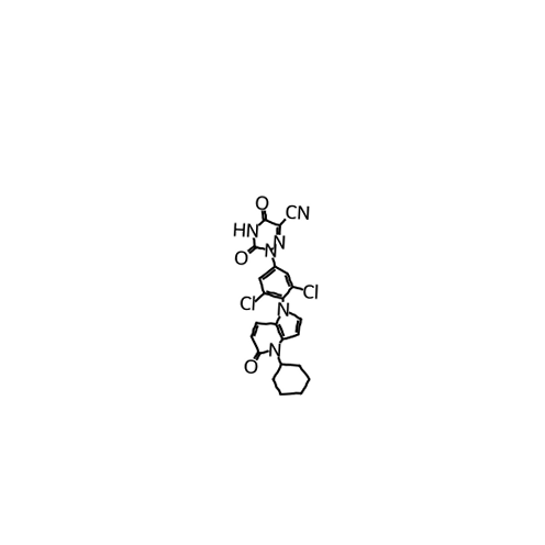 N#Cc1nn(-c2cc(Cl)c(-n3ccc4c3ccc(=O)n4C3CCCCC3)c(Cl)c2)c(=O)[nH]c1=O